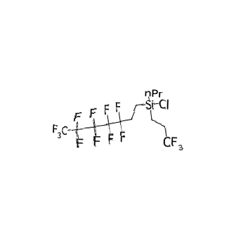 CCC[Si](Cl)(CCC(F)(F)F)CCC(F)(F)C(F)(F)C(F)(F)C(F)(F)C(F)(F)F